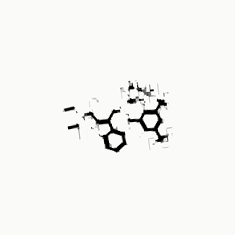 CCN(CC)C(=O)c1[nH]c2ccccc2c1CN(Cc1cc(C(F)(F)F)cc(C(F)(F)F)c1)c1nn[nH]n1